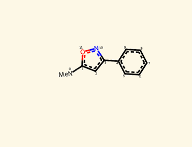 CNc1cc(-c2ccccc2)no1